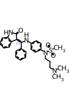 CN(C)CCCN(c1ccc(N/C(=C2\C(=O)Nc3ccccc32)c2ccccc2)cc1)S(C)(=O)=O